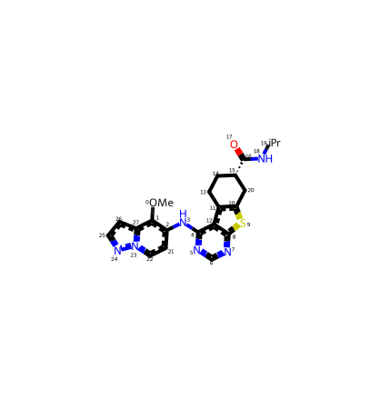 COc1c(Nc2ncnc3sc4c(c23)CC[C@H](C(=O)NC(C)C)C4)ccn2nccc12